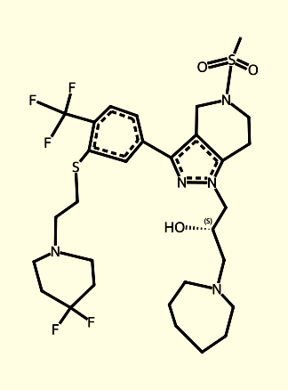 CS(=O)(=O)N1CCc2c(c(-c3ccc(C(F)(F)F)c(SCCN4CCC(F)(F)CC4)c3)nn2C[C@@H](O)CN2CCCCCC2)C1